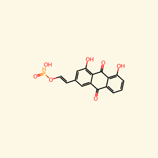 O=C1c2cccc(O)c2C(=O)c2c(O)cc(C=CO[PH](=O)O)cc21